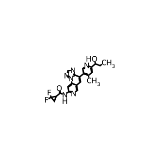 CCC(O)c1cc(C)c(-c2cc3cnc(NC(=O)C4CC4(F)F)cc3n3ncnc23)cn1